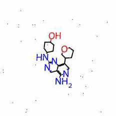 Nc1ncc(C2CCCOC2)c2nc(NC3CCC(O)CC3)ncc12